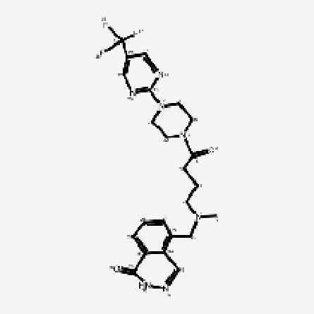 CN(CCCC(=O)N1CCN(c2ncc(C(F)(F)F)cn2)CC1)Cc1cccc2c(=O)[nH]ncc12